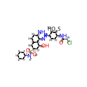 CN(c1ccccc1)S(=O)(=O)c1cc(O)c2c(/N=N/c3ccc(NC(=O)CCl)cc3S(=O)(=O)O)c(N)ccc2c1